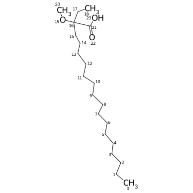 CCCCCCCCCCCCCCCCC(CC)(OC)C(=O)O